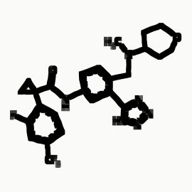 CN(Cc1ccc(NC(=O)C2(c3ccc(C(F)(F)F)cc3F)CC2)cc1-c1nnn[nH]1)C1CCOCC1